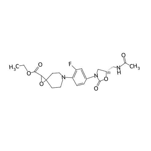 CCOC(=O)C1OC12CCN(c1ccc(N3C[C@H](CNC(C)=O)OC3=O)cc1F)CC2